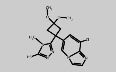 COC1(OC)CC(c2cc(Cl)c3nccn3c2)(c2nnc(S)n2C)C1